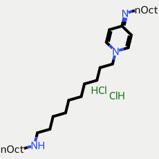 CCCCCCCCN=c1ccn(CCCCCCCCCCNCCCCCCCC)cc1.Cl.Cl